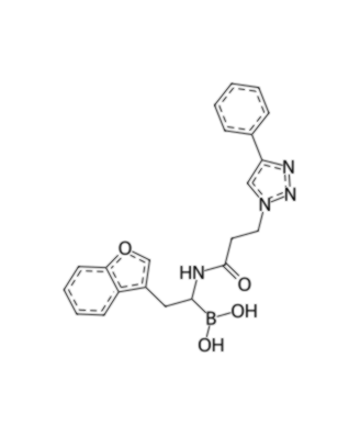 O=C(CCn1cc(-c2ccccc2)nn1)NC(Cc1coc2ccccc12)B(O)O